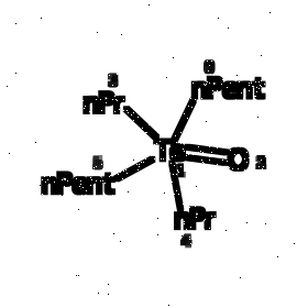 CCCCC[Te](=O)(CCC)(CCC)CCCCC